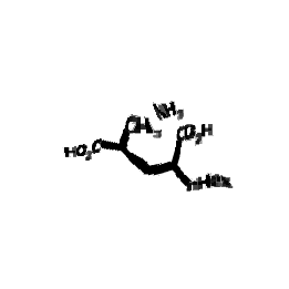 CCCCCCC(CC(C)C(=O)O)C(=O)O.N